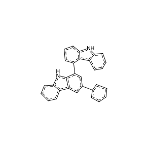 c1ccc(-c2cc(-c3cccc4[nH]c5ccccc5c34)c3[nH]c4ccccc4c3c2)cc1